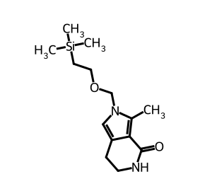 Cc1c2c(cn1COCC[Si](C)(C)C)CCNC2=O